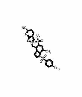 Cc1ccc(S(=O)(=O)n2ccc3c(Cn4cc5ccc(C#N)nc5n4)c(S(C)(=O)=O)cc(C)c32)cc1